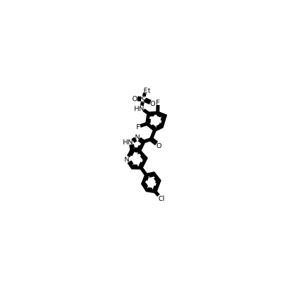 CCS(=O)(=O)Nc1c(F)ccc(C(=O)c2n[nH]c3ncc(-c4ccc(Cl)cc4)cc23)c1F